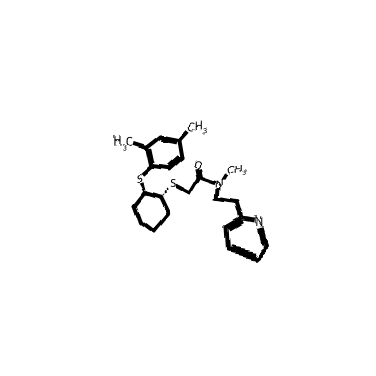 Cc1ccc(S[C@@H]2CCCC[C@H]2SCC(=O)N(C)CCc2ccccn2)c(C)c1